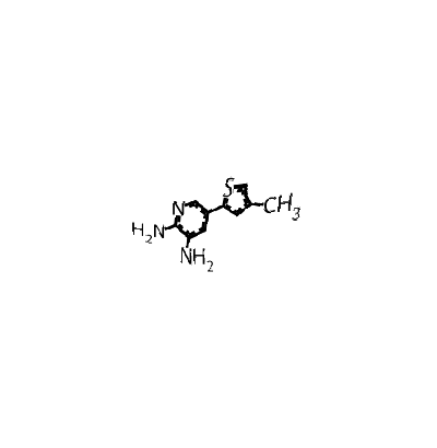 Cc1csc(-c2cnc(N)c(N)c2)c1